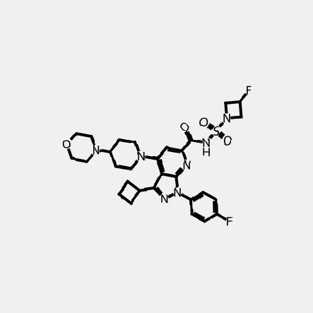 O=C(NS(=O)(=O)N1CC(F)C1)c1cc(N2CCC(N3CCOCC3)CC2)c2c(C3CCC3)nn(-c3ccc(F)cc3)c2n1